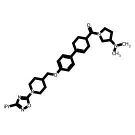 CC(C)c1noc(N2CCC(COc3ccc(C4=CCC(C(=O)N5CCC(N(C)C)C5)CC4)cc3)CC2)n1